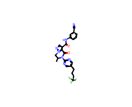 CC1Cn2ncc(C(=O)Nc3cccc(C#N)c3)c2C(=O)N1c1ncc(CCCC(F)(F)F)cn1